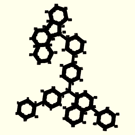 c1ccc(-c2ccc(N(c3ccc(-c4cccc(-n5c6ccccc6c6ccc7ccccc7c65)c4)cc3)c3ccc(-c4ccccc4)c4ccccc34)cc2)cc1